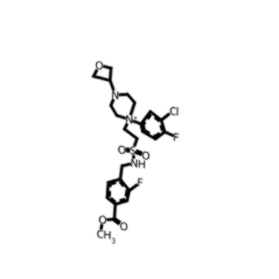 COC(=O)c1ccc(CNS(=O)(=O)CC[N+]2(c3ccc(F)c(Cl)c3)CCN(C3COC3)CC2)c(F)c1